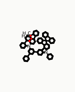 CC1(C)c2ccccc2-c2ccc(N(c3cc(-c4ccccc4)cc(-c4ccc5c(c4)c4c6c(ccc4n5-c4ccccc4)C4(c5ccccc5-c5ccccc54)c4ccccc4-6)c3)c3ccccc3-c3ccccc3)cc21